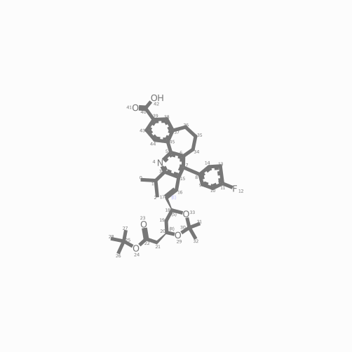 CC(C)c1nc2c(c(-c3ccc(F)cc3)c1/C=C/[C@@H]1C[C@H](CC(=O)OC(C)(C)C)OC(C)(C)O1)CCCc1cc(C(=O)O)ccc1-2